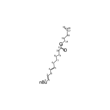 CCCCC=CCC=CCCCCCC(=O)OCCCC1CC1